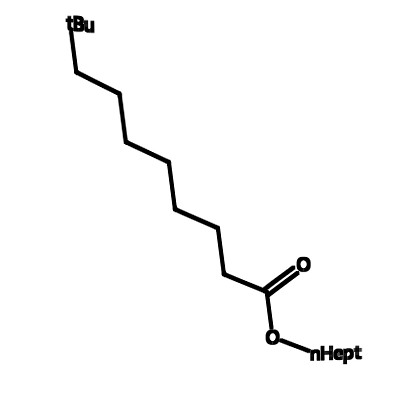 CCCCCCCOC(=O)CCCCCCCC(C)(C)C